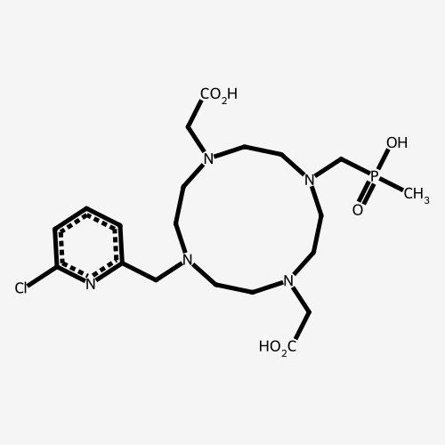 CP(=O)(O)CN1CCN(CC(=O)O)CCN(Cc2cccc(Cl)n2)CCN(CC(=O)O)CC1